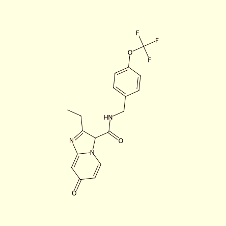 CCC1=Nc2cc(=O)ccn2C1C(=O)NCc1ccc(OC(F)(F)F)cc1